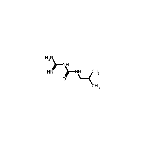 CC(C)CNC(=O)NC(=N)N